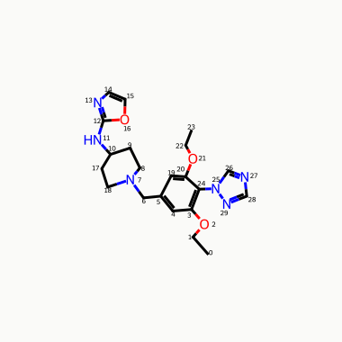 CCOc1cc(CN2CCC(Nc3ncco3)CC2)cc(OCC)c1-n1cncn1